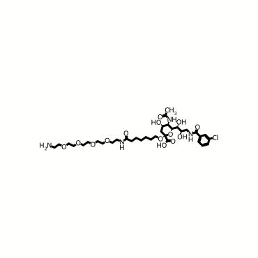 CC(=O)N[C@H]1[C@H]([C@H](O)[C@H](O)CNC(=O)c2cccc(Cl)c2)O[C@@](OCCCCCCC(=O)NCCOCCOCCOCCOCCN)(C(=O)O)C[C@@H]1O